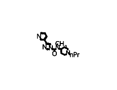 CCCN1CCC(N(C)C(=O)n2cnc(-c3cccnc3)c2)CC1